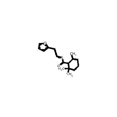 CC1CCCC(C)(C)C1C(=O)SCCc1ccco1